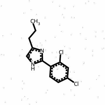 CCCc1c[nH]c(-c2ccc(Cl)cc2Cl)n1